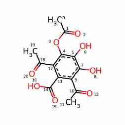 CC(=O)Oc1c(O)c(O)c(C(C)=O)c(C(=O)O)c1C(C)=O